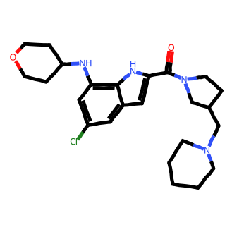 O=C(c1cc2cc(Cl)cc(NC3CCOCC3)c2[nH]1)N1CCC(CN2CCCCC2)C1